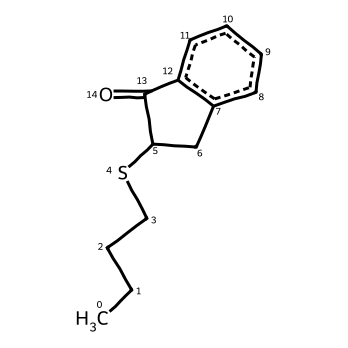 CCCCSC1Cc2ccccc2C1=O